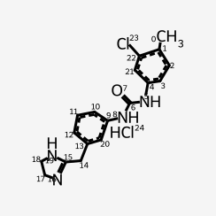 Cc1ccc(NC(=O)Nc2cccc(CC3=NCCN3)c2)cc1Cl.Cl